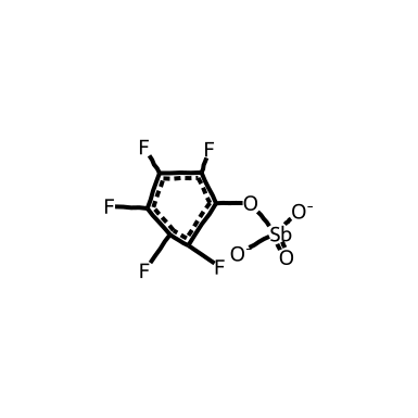 [O]=[Sb]([O-])([O-])[O]c1c(F)c(F)c(F)c(F)c1F